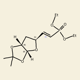 CCOP(=O)(/C=C/[C@@H]1C[C@H]2OC(C)(C)O[C@H]2O1)OCC